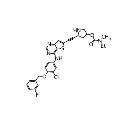 CCN(C)C(=O)OC1CNC(C#Cc2cc3ncnc(Nc4ccc(OCc5cccc(F)c5)c(Cl)c4)c3s2)C1